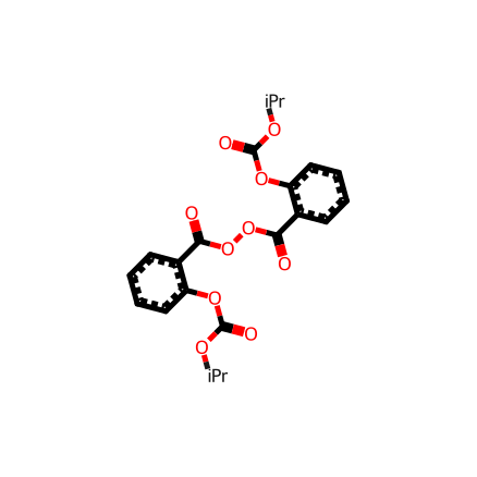 CC(C)OC(=O)Oc1ccccc1C(=O)OOC(=O)c1ccccc1OC(=O)OC(C)C